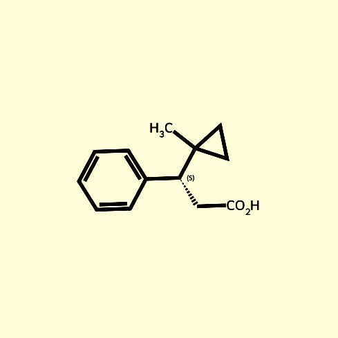 CC1([C@H](CC(=O)O)c2ccccc2)CC1